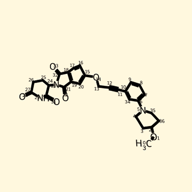 COC1CCN(c2cccc(C#CCOc3ccc4c(c3)C(=O)N(C3CCC(=O)NC3=O)C4=O)c2)CC1